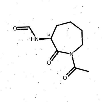 CC(=O)N1CCCC[C@H](NC=O)C1=O